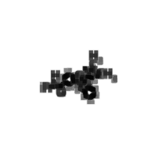 Cc1nc(S(=O)(=O)N(Cc2ccccc2)c2cccc(C(=O)NC(C)C)c2)cn1C